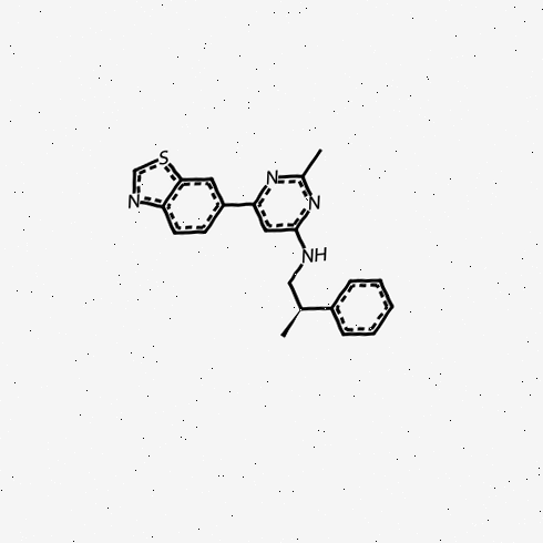 Cc1nc(NC[C@H](C)c2ccccc2)cc(-c2ccc3ncsc3c2)n1